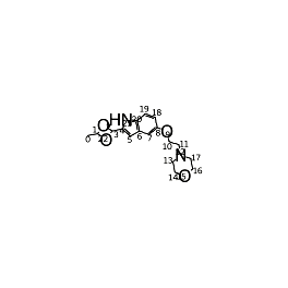 CC1OC(c2cc3cc(OCCN4CCOCC4)ccc3[nH]2)O1